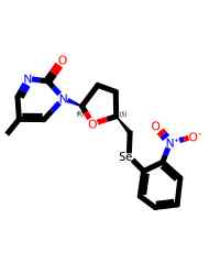 Cc1cnc(=O)n([C@H]2CC[C@@H](C[Se]c3ccccc3[N+](=O)[O-])O2)c1